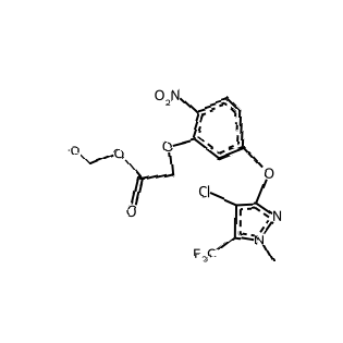 Cn1nc(Oc2ccc([N+](=O)[O-])c(OCC(=O)OC[O])c2)c(Cl)c1C(F)(F)F